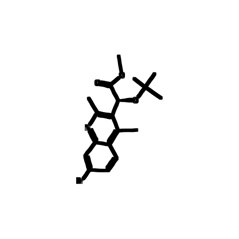 COC(=O)[C@@H](OC(C)(C)C)c1c(C)nc2cc(Br)ccc2c1C